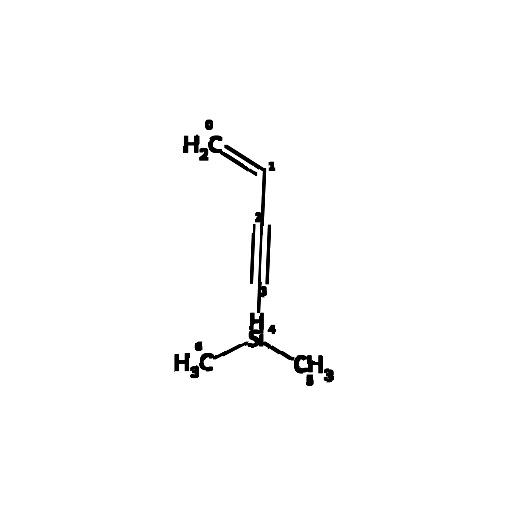 C=CC#C[SiH](C)C